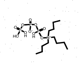 CCCC[N+](CCCC)(CCCC)OP(=O)(O)OP(=O)([O-])OP(=O)(O)O